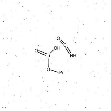 CC(C)[O][Ti](=[O])[OH].N=C=O